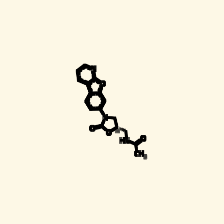 CC(=O)NC[C@H]1CN(c2ccc3c(c2)oc2ncccc23)C(=O)O1